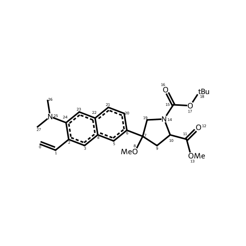 C=Cc1cc2cc(C3(OC)CC(C(=O)OC)N(C(=O)OC(C)(C)C)C3)ccc2cc1N(C)C